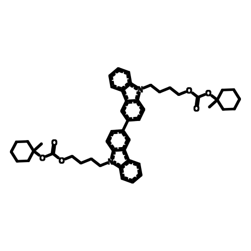 CC1(OC(=O)OCCCCn2c3ccccc3c3cc(-c4ccc5c(c4)c4ccccc4n5CCCCOC(=O)OC4(C)CCCCC4)ccc32)CCCCC1